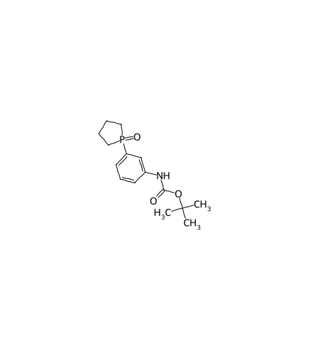 CC(C)(C)OC(=O)Nc1cccc(P2(=O)CCCC2)c1